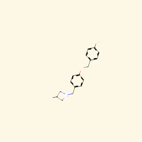 Bc1ccc(COc2ccc(CN3CC(C(=O)O)C3)cc2)cc1